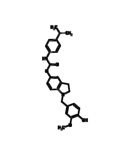 COc1cc(CN2CCc3cc(OC(=O)Nc4ccc(C(C)C)cc4)ccc32)ccc1O